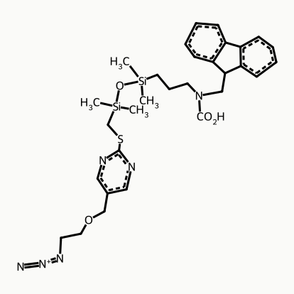 C[Si](C)(CCCN(CC1c2ccccc2-c2ccccc21)C(=O)O)O[Si](C)(C)CSc1ncc(COCCN=[N+]=[N-])cn1